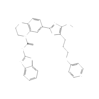 O=C(O)Oc1nc(-c2ccc3c(c2)N(C(=O)Nc2nc4ccccc4s2)CCO3)sc1CCCSc1ccncc1